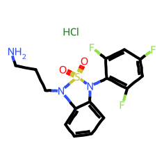 Cl.NCCCN1c2ccccc2N(c2c(F)cc(F)cc2F)S1(=O)=O